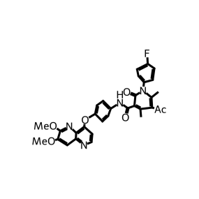 COc1cc2nccc(Oc3ccc(NC(=O)c4c(C)c(C(C)=O)c(C)n(-c5ccc(F)cc5)c4=O)cc3)c2nc1OC